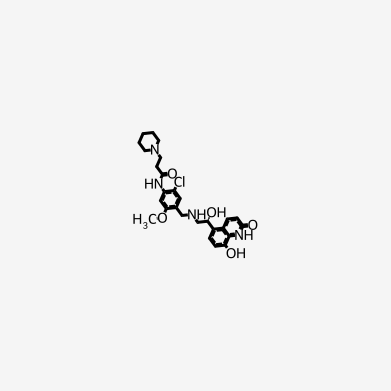 COc1cc(NC(=O)CCN2CCCCC2)c(Cl)cc1CNC[C@H](O)c1ccc(O)c2[nH]c(=O)ccc12